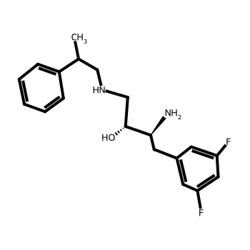 CC(CNC[C@@H](O)[C@@H](N)Cc1cc(F)cc(F)c1)c1ccccc1